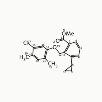 COC(=O)c1cccc(C2CC2)c1COc1cc(Cl)c(C)cc1C